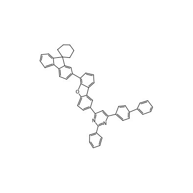 c1ccc(-c2ccc(-c3cc(-c4ccc5oc6c(-c7ccc8c(c7)C7(CCCCC7)c7ccccc7-8)cccc6c5c4)nc(-c4ccccc4)n3)cc2)cc1